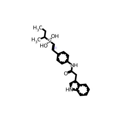 CCC(C)[Si](O)(O)/C=C/c1ccc(NC(=O)Cc2c[nH]c3ccccc23)cc1